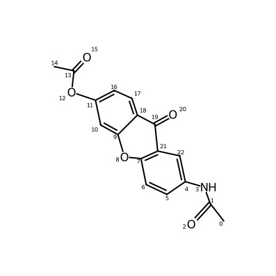 CC(=O)Nc1ccc2oc3cc(OC(C)=O)ccc3c(=O)c2c1